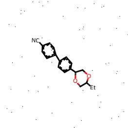 CCC1COC(c2ccc(-c3ccc(C#N)cc3)cc2)CO1